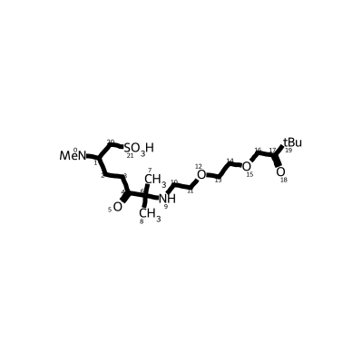 CNC(CCC(=O)C(C)(C)NCCOCCOCC(=O)C(C)(C)C)CS(=O)(=O)O